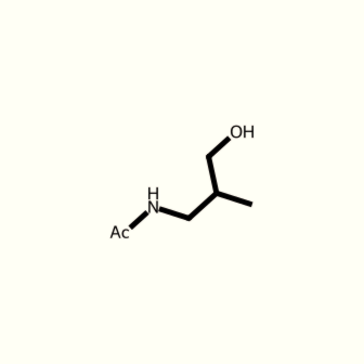 CC(=O)NCC(C)CO